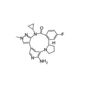 Cn1cc2c(n1)N(C1CC1)C(=O)c1ccc(F)cc1[C@H]1CCCN1c1cc-2cnc1N